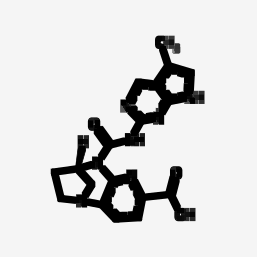 Cc1c[nH]c2nc(NC(=O)N3c4nc(C(=O)O)ccc4N4CC[C@H]3C4)ncc12